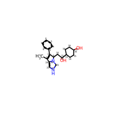 CC1=C(c2ccccc2)C(CC(O)C2CCC(O)CC2)N2CNC=C12